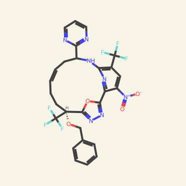 O=[N+]([O-])c1cc(C(F)(F)F)c2nc1-c1nnc(o1)[C@@](OCc1ccccc1)(C(F)(F)F)CCC=CCC(c1ncccn1)N2